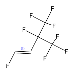 F/C=C/C(F)(C(F)(F)F)C(F)(F)F